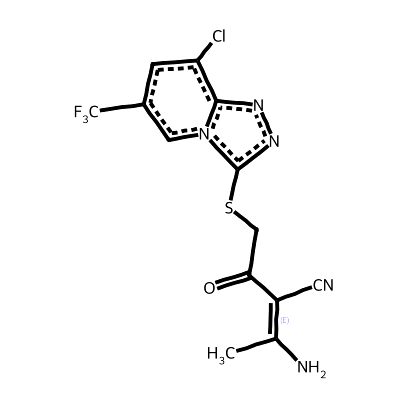 C/C(N)=C(/C#N)C(=O)CSc1nnc2c(Cl)cc(C(F)(F)F)cn12